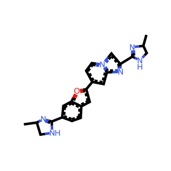 CC1CNC(c2ccc3cc(-c4ccn5cc(C6=NC(C)CN6)nc5c4)oc3c2)=N1